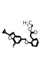 CCOC(=O)Cc1ccccc1OCc1cc(I)c2oc(C3CC3)cc2c1